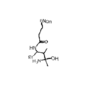 CCCCCCCCCCCC(=O)NC(CC)C(C)C(C)(N)O